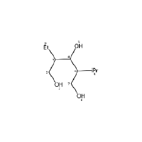 CCC(CO)C(O)C(CO)C(C)C